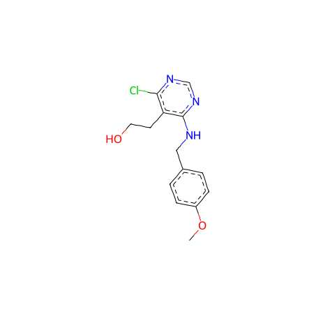 COc1ccc(CNc2ncnc(Cl)c2CCO)cc1